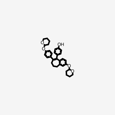 Oc1ccc(C2=C(c3ccc(OC4CCCCO4)cc3)CCCc3cc(OC4CCCCO4)ccc32)cc1